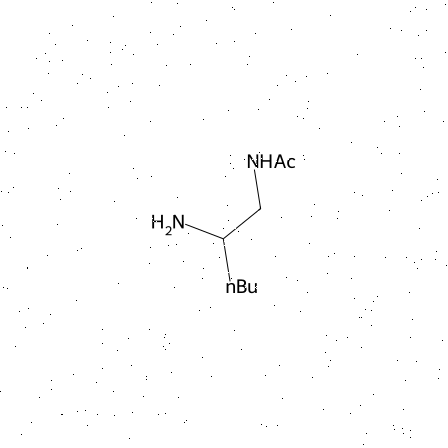 CCCCC(N)CNC(C)=O